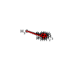 CCCCCCCCCCCCCCCC(=O)NCCCC[C@H](NN[C@H](C(=O)O)C(C(N)=O)[C@@H]1O[C@H](CO)[C@@H](O)[C@H](O)[C@H]1NC(C)=O)C(=O)O